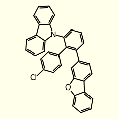 Clc1ccc(-c2c(-c3ccc4c(c3)oc3ccccc34)cccc2-n2c3ccccc3c3ccccc32)cc1